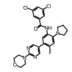 O=C(Nc1cc(-c2cnc(N3CCOCC3)nc2)c(F)cc1N1C[CH]CC1)c1cc(Cl)cc(Cl)c1